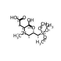 CO[Si](CCCN(C)C(CC(=O)O)C(=O)O)(OC)OC